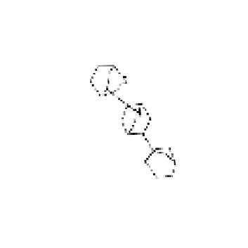 C1CC2CCC1CC2C1CC2CCC1CN2C1CC2CCC1CS2